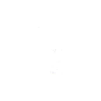 Fc1cc(Cl)ccc1N1CCC2(CCNC2)C1